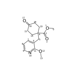 COC(=O)C1(Cc2cccnc2OC)CCC(=O)CC1